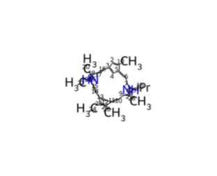 CC1=Cc2cc1cc1[nH]c(cc3cc(cc4[nH]c(c2)c(C)c4C)C(C)=C3C)c(C)c1C(C)C